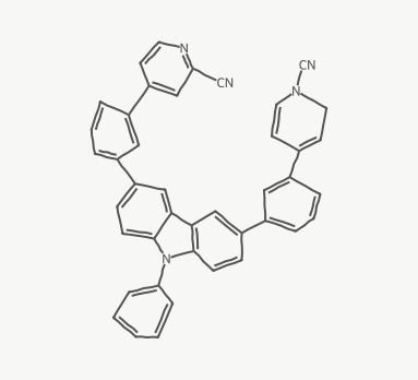 N#Cc1cc(-c2cccc(-c3ccc4c(c3)c3cc(-c5cccc(C6=CCN(C#N)C=C6)c5)ccc3n4-c3ccccc3)c2)ccn1